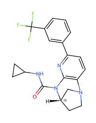 O=C(NC1CC1)N1c2nc(-c3cccc(C(F)(F)F)c3)ccc2N2CC[C@H]1C2